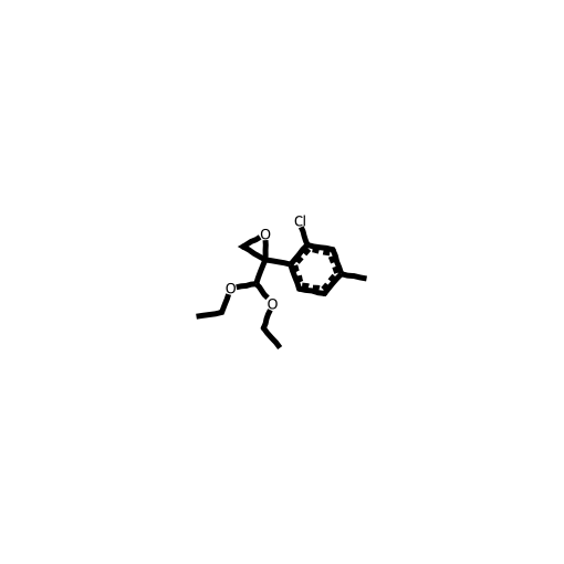 CCOC(OCC)C1(c2ccc(C)cc2Cl)CO1